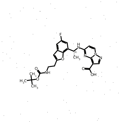 C[C@@H](Nc1ccn2ncc(C(=O)O)c2n1)c1cc(F)cc2cc(CCNC(=O)OC(C)(C)C)oc12